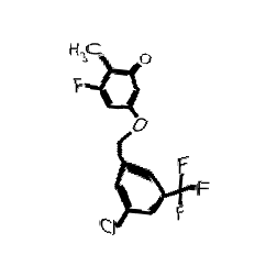 CC1C(=O)C=C(OCc2cc(Cl)cc(C(F)(F)F)c2)C=C1F